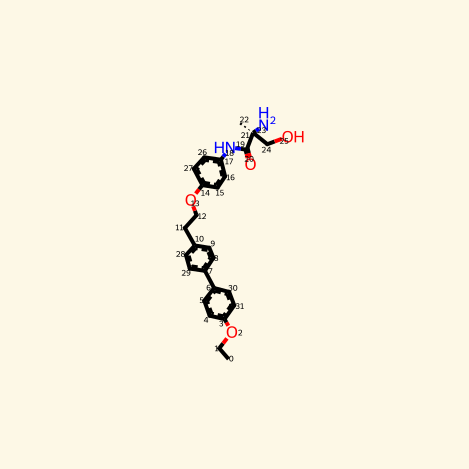 CCOc1ccc(-c2ccc(CCOc3ccc(NC(=O)[C@@](C)(N)CO)cc3)cc2)cc1